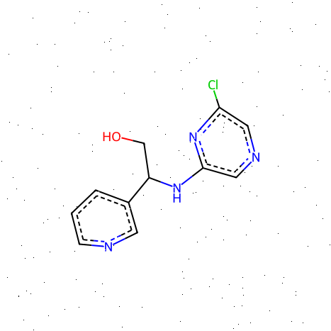 OCC(Nc1cncc(Cl)n1)c1cccnc1